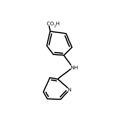 O=C(O)c1ccc(Nc2ccccn2)cc1